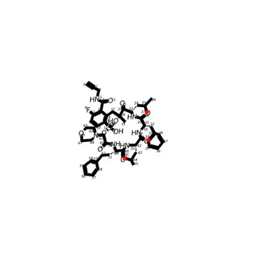 C#CCNC(=O)c1c(F)ccc(S(=O)(=O)O)c1CC(C)(O)C(=O)[C@H](CC(C)C)NC(=O)[C@H](Cc1ccccc1)NC(=O)[C@H](CC(C)C)NC(=O)[C@H](CCc1ccccc1)NC(=O)CN1CCOCC1